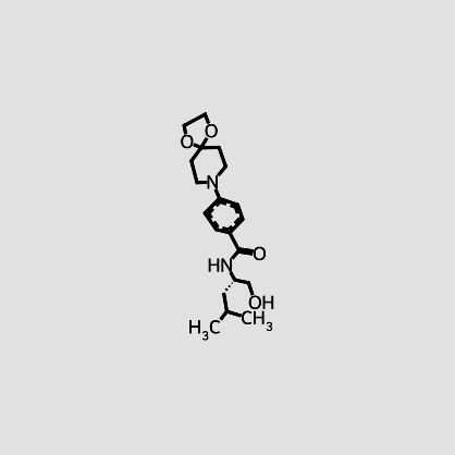 CC(C)C[C@@H](CO)NC(=O)c1ccc(N2CCC3(CC2)OCCO3)cc1